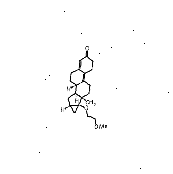 COCCO[C@@]12C[C@@H]1C[C@H]1[C@@H]3CCC4=CC(=O)CCC4=C3CC[C@@]12C